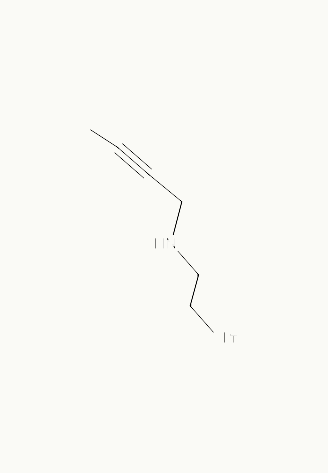 [CH2]CCCCNCC#CC